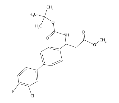 COC(=O)CC(NC(=O)OC(C)(C)C)c1ccc(-c2ccc(F)c(Cl)c2)cc1